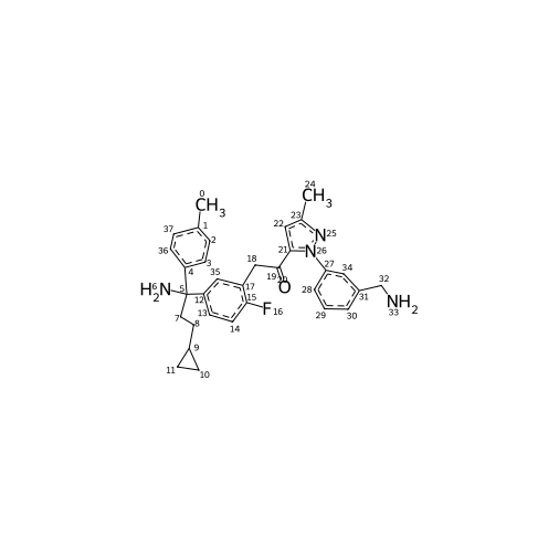 Cc1ccc(C(N)(CCC2CC2)c2ccc(F)c(CC(=O)c3cc(C)nn3-c3cccc(CN)c3)c2)cc1